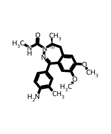 CNC(=O)N1N=C(c2ccc(N)c(C)c2)c2cc(OC)c(OC)cc2C[C@@H]1C